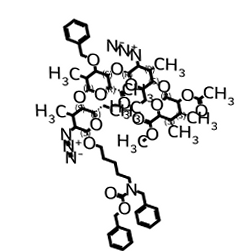 CCC1O[C@H](O[C@H]2C(OCc3ccccc3)C(C)[C@H](O[C@H]3C(C)C(N=[N+]=[N-])[C@@H](OCCCCCN(Cc4ccccc4)C(=O)OCc4ccccc4)O[C@H]3CC)O[C@H]2C(C)=O)C(N=[N+]=[N-])[C@@H](C)[C@@H]1O[C@@H]1OC(C(=O)OC)[C@@H](C)[C@H](C)C1OC(C)=O